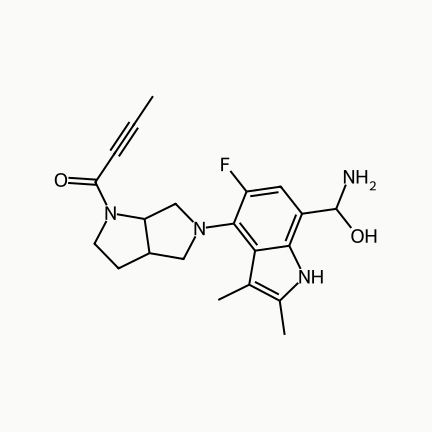 CC#CC(=O)N1CCC2CN(c3c(F)cc(C(N)O)c4[nH]c(C)c(C)c34)CC21